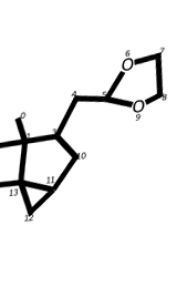 CC1(C)C(CC2OCCO2)CC2CC21C